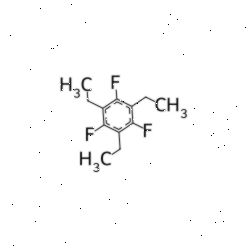 CCc1c(F)c(CC)c(F)c(CC)c1F